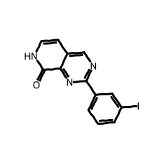 O=c1[nH]ccc2cnc(-c3cccc(I)c3)nc12